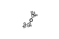 CC(C)(C)OC(=O)C(O)COc1ccc(C2CNC(=S)NC2)cc1